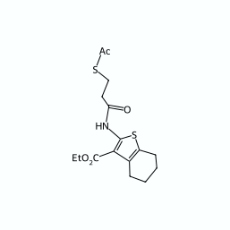 CCOC(=O)c1c(NC(=O)CCSC(C)=O)sc2c1CCCC2